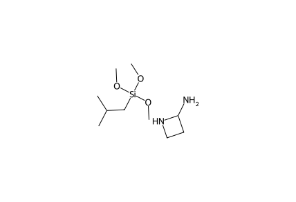 CO[Si](CC(C)C)(OC)OC.NC1CCN1